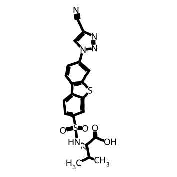 CC(C)[C@H](NS(=O)(=O)c1ccc2c(c1)sc1cc(-n3cc(C#N)nn3)ccc12)C(=O)O